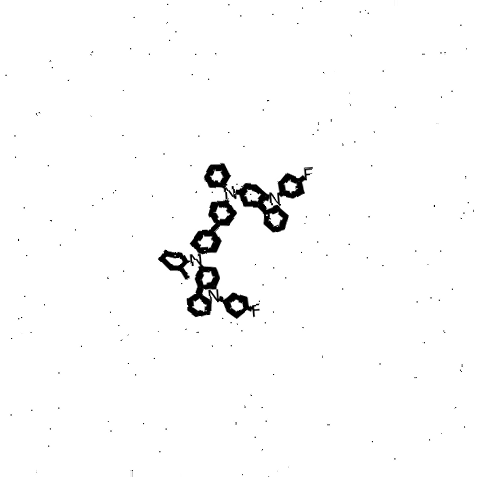 CC1C=CC=C[C@@H]1N(c1ccc(-c2ccc(N(c3ccccc3)c3ccc4c(c3)c3ccccc3n4-c3ccc(F)cc3)cc2)cc1)c1ccc2c(c1)c1ccccc1n2-c1ccc(F)cc1